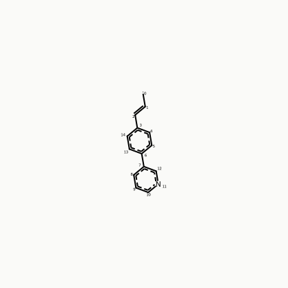 [CH2]/C=C/c1ccc(-c2cccnc2)cc1